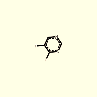 Fc1cncnc1F